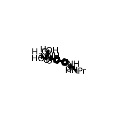 CC(C)NCC(=O)Nc1ccc(-c2ccc(C(=O)N[C@H](C(=O)NO)[C@@H](C)O)cc2)cc1